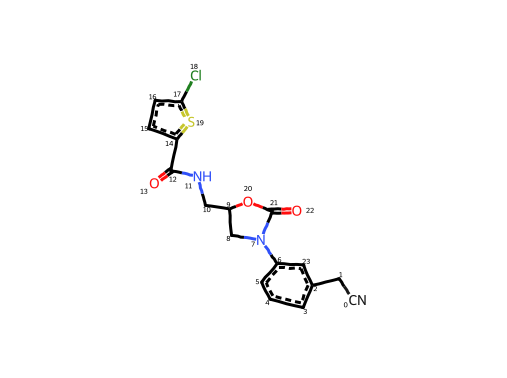 N#CCc1cccc(N2CC(CNC(=O)c3ccc(Cl)s3)OC2=O)c1